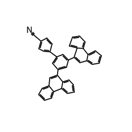 N#Cc1ccc(-c2cc(-c3cc4ccccc4c4ccccc34)cc(-c3cc4ccccc4c4ccccc34)c2)cc1